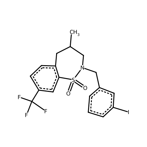 CC1Cc2ccc(C(F)(F)F)cc2S(=O)(=O)N(Cc2cccc(I)c2)C1